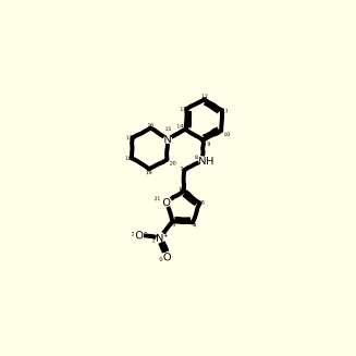 O=[N+]([O-])c1ccc(CNc2ccccc2N2CCCCC2)o1